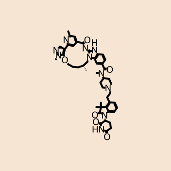 Cc1cc2cc(n1)-c1cnn(C)c1OCCC[C@@H](C)CN1/C(=N/C2=O)Nc2ccc(C(=O)N(C)C3CCN(CCc4cccc5c4C(C)(C)C(=O)N5[C@H]4CCC(=O)NC4=O)CC3)cc21